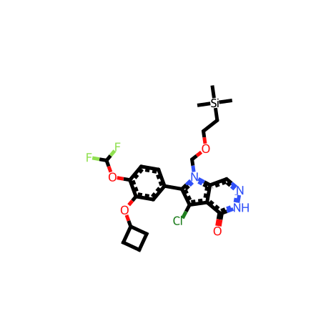 C[Si](C)(C)CCOCn1c(-c2ccc(OC(F)F)c(OC3CCC3)c2)c(Cl)c2c(=O)[nH]ncc21